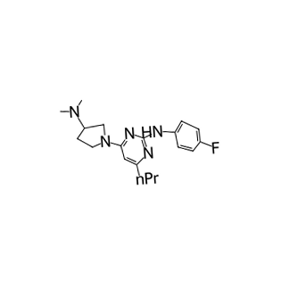 CCCc1cc(N2CCC(N(C)C)C2)nc(Nc2ccc(F)cc2)n1